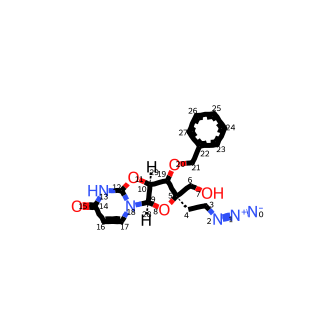 [N-]=[N+]=NCC[C@]1(CO)O[C@@H]2[C@@H](OC3NC(=O)C=CN32)C1OCc1ccccc1